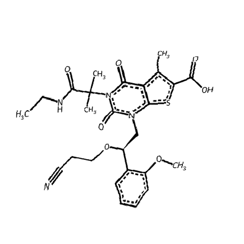 CCNC(=O)C(C)(C)n1c(=O)c2c(C)c(C(=O)O)sc2n(C[C@H](OCCC#N)c2ccccc2OC)c1=O